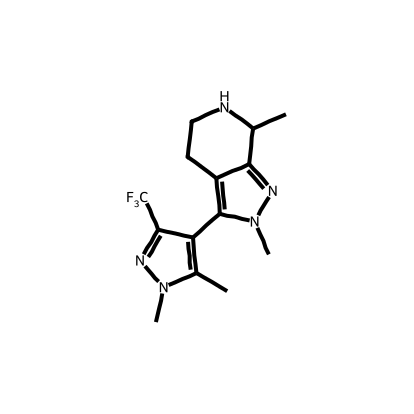 Cc1c(-c2c3c(nn2C)C(C)NCC3)c(C(F)(F)F)nn1C